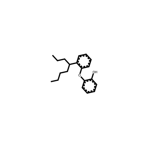 CCCCC(CCC)c1ccccc1Oc1ccccc1O